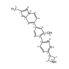 Cc1cc2cc(-c3ccc(-c4ccc(C5CNC5)nn4)c(O)c3)ccn2n1